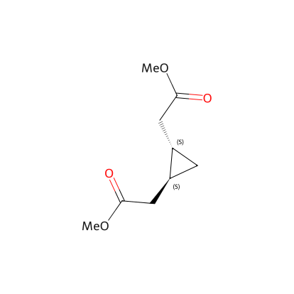 COC(=O)C[C@@H]1C[C@H]1CC(=O)OC